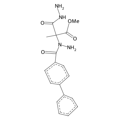 COC(=O)C(C)(C(=O)NN)N(N)C(=O)c1ccc(-c2ccccc2)cc1